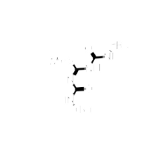 CSC(=NC(=O)NC(C)(C)C)NC(=O)NC(C)(C)C